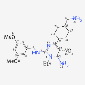 CCN1C(NCc2cc(OC)cc(OC)c2)=NC(C2CCC(CN)CC2)=C([N+](=O)[O-])C1N